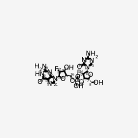 Nc1ncn([C@@H]2O[C@H](CO)[C@H](OP(=O)(O)OC[C@H]3O[C@@H](n4cnc5c(=O)[nH]c(N)nc54)[C@@H](F)[C@H]3O)[C@@H]2F)c(=O)n1